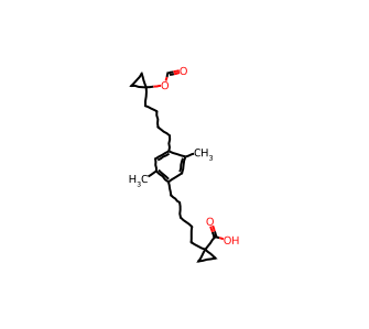 Cc1cc(CCCCC2(OC=O)CC2)c(C)cc1CCCCCC1(C(=O)O)CC1